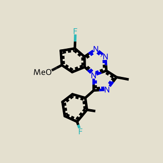 COc1cc(F)c2nnc3c(C)nc(-c4cccc(F)c4C)n3c2c1